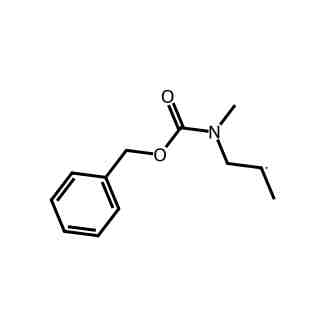 C[CH]CN(C)C(=O)OCc1ccccc1